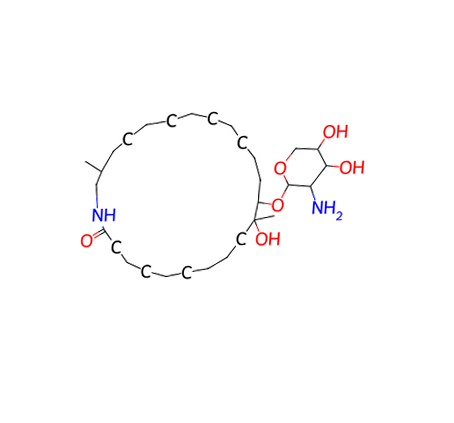 CC1CCCCCCCCCCC(OC2OCC(O)C(O)C2N)C(C)(O)CCCCCCCCC(=O)NC1